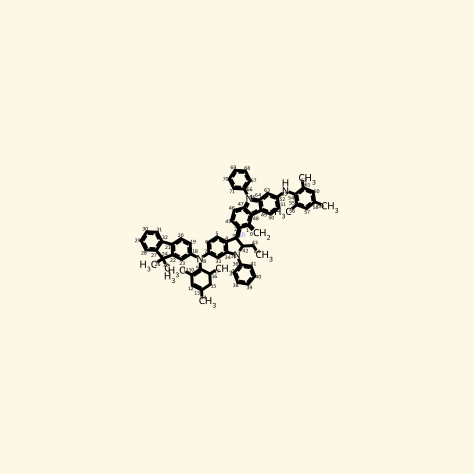 C=c1/c(=C2/c3ccc(N(C4=C(C)C=C(C)CC4C)c4ccc5c(c4)C(C)(C)c4ccccc4-5)cc3N(c3ccccc3)C2CC)ccc2c1c1ccc(Nc3c(C)cc(C)cc3C)cc1n2-c1ccccc1